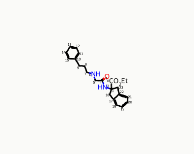 CCOC(=O)C1(NC(=O)CNCCCc2ccccc2)Cc2ccccc2C1